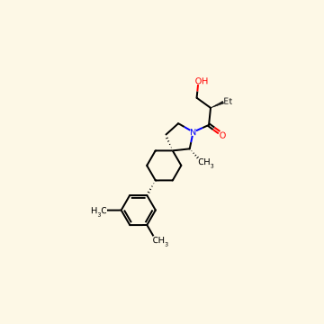 CC[C@H](CO)C(=O)N1CC[C@]2(CC[C@@H](c3cc(C)cc(C)c3)CC2)[C@H]1C